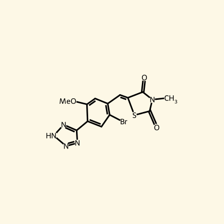 COc1cc(/C=C2\SC(=O)N(C)C2=O)c(Br)cc1-c1nn[nH]n1